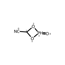 N#CC1O[PH](=O)O1